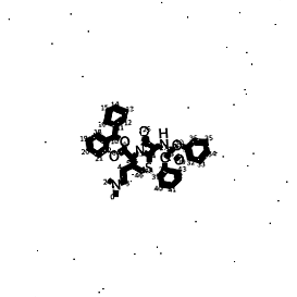 CN(C)/C=C/C1=C(C(=O)OC(c2ccccc2)c2ccccc2)N2C(=O)C(NP(=O)(Oc3ccccc3)Oc3ccccc3)C2SC1